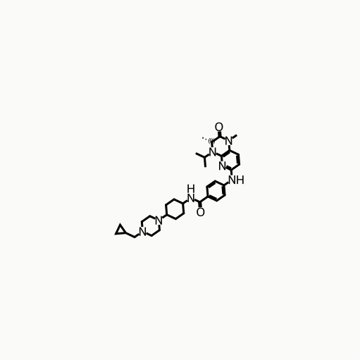 CC(C)N1c2nc(Nc3ccc(C(=O)NC4CCC(N5CCN(CC6CC6)CC5)CC4)cc3)ccc2N(C)C(=O)[C@H]1C